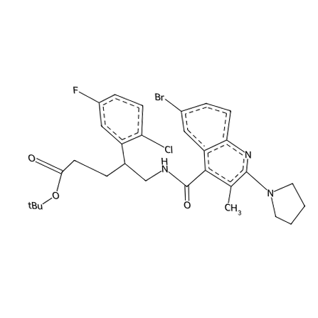 Cc1c(N2CCCC2)nc2ccc(Br)cc2c1C(=O)NCC(CCC(=O)OC(C)(C)C)c1cc(F)ccc1Cl